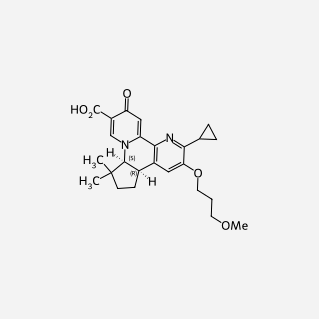 COCCCOc1cc2c(nc1C1CC1)-c1cc(=O)c(C(=O)O)cn1[C@H]1[C@@H]2CCC1(C)C